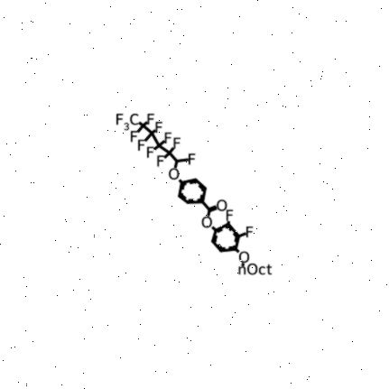 CCCCCCCCOc1ccc(OC(=O)c2ccc(OC(F)C(F)(F)C(F)(F)C(F)(F)C(F)(F)C(F)(F)F)cc2)c(F)c1F